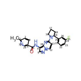 Cc1ccc(C(=O)Nc2cnn3ccc(N4CCCC4c4cccc(F)c4)nc23)cn1